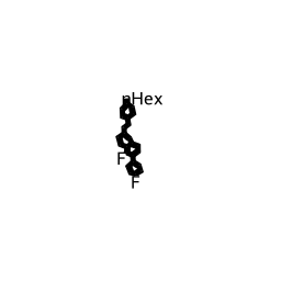 CCCCCCc1ccc(CCc2ccc3c(F)c(-c4ccc(F)cc4)ccc3c2)cc1